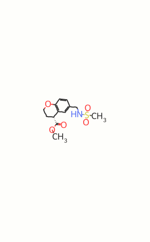 COC(=O)[C@@H]1CCOc2ccc(CNS(C)(=O)=O)cc21